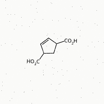 O=C(O)C1C=CC(C(=O)O)C1